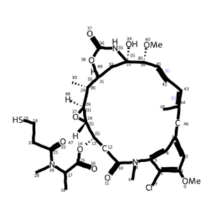 COc1cc2cc(c1Cl)N(C)C(=O)C[C@H](OC(=O)C(C)N(C)C(=O)CCS)[C@@H]1O[C@H]1[C@H](C)[C@@H]1C[C@@](O)(NC(=O)O1)[C@H](OC)/C=C/C=C(\C)C2